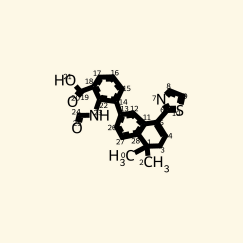 CC1(C)CC=C(c2nccs2)c2cc(-c3cccc(C(=O)O)c3NC=O)ccc21